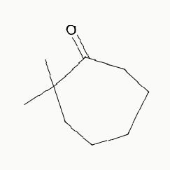 CC1(C)CCCCCC1=O